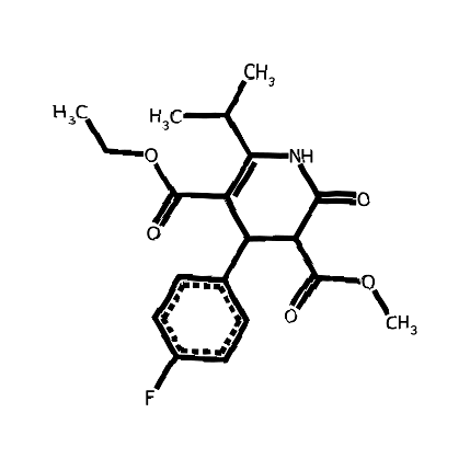 CCOC(=O)C1=C(C(C)C)NC(=O)C(C(=O)OC)C1c1ccc(F)cc1